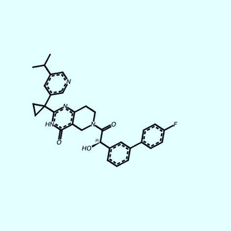 CC(C)c1cncc(C2(c3nc4c(c(=O)[nH]3)CN(C(=O)[C@H](O)c3cccc(-c5ccc(F)cc5)c3)CC4)CC2)c1